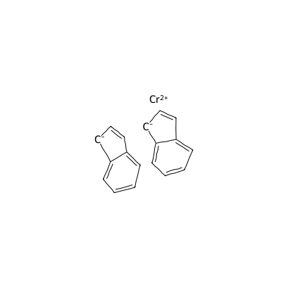 [Cr+2].c1ccc2[cH-]ccc2c1.c1ccc2[cH-]ccc2c1